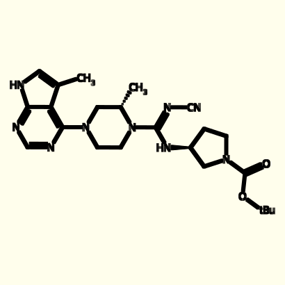 Cc1c[nH]c2ncnc(N3CCN(C(=NC#N)N[C@H]4CCN(C(=O)OC(C)(C)C)C4)[C@@H](C)C3)c12